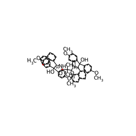 COc1ccc(C(O)(c2ccc(OC)cc2)[C@H](NC(=O)C(C)(C)C(=O)N[C@H](c2cccc3ccccc23)C(O)(c2ccc(OC)cc2)c2ccc(OC)cc2)c2cccc3ccccc23)cc1